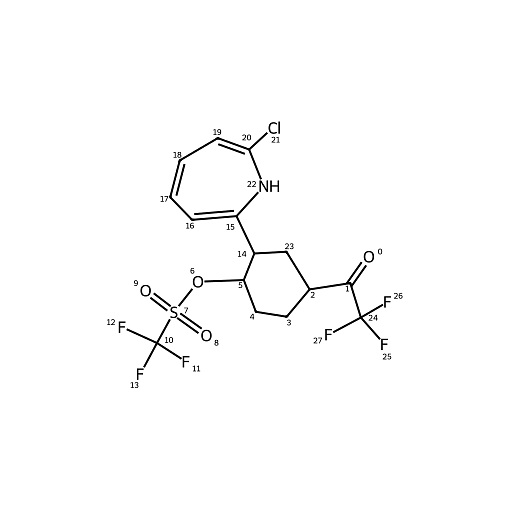 O=C(C1CCC(OS(=O)(=O)C(F)(F)F)C(C2=CC=CC=C(Cl)N2)C1)C(F)(F)F